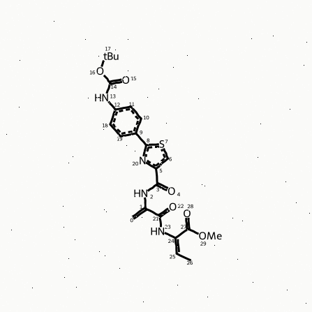 C=C(NC(=O)c1csc(-c2ccc(NC(=O)OC(C)(C)C)cc2)n1)C(=O)N/C(=C/C)C(=O)OC